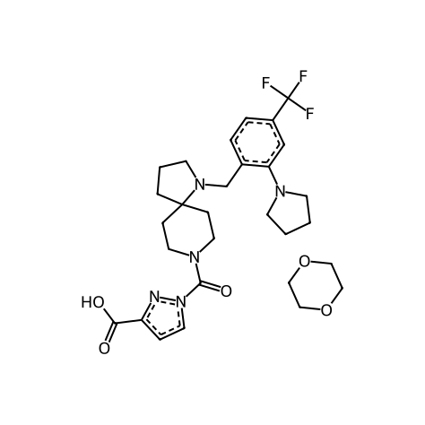 C1COCCO1.O=C(O)c1ccn(C(=O)N2CCC3(CCCN3Cc3ccc(C(F)(F)F)cc3N3CCCC3)CC2)n1